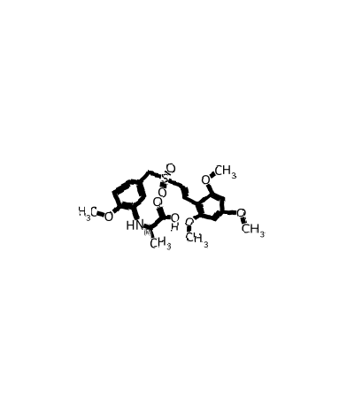 COc1cc(OC)c(C=CS(=O)(=O)Cc2ccc(OC)c(N[C@H](C)C(=O)O)c2)c(OC)c1